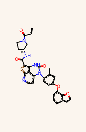 C=CC(=O)N1CC[C@@H](NC(=O)c2sc3nccc4c3c2NC(=O)N4c2ccc(Oc3cccc4ccoc34)cc2C)C1